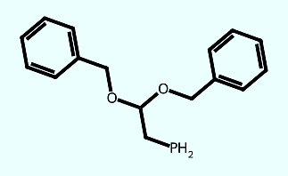 PCC(OCc1ccccc1)OCc1ccccc1